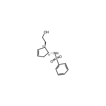 O=S(=O)(N[C@@H]1CC=C[C@H]1CCO)c1ccccc1